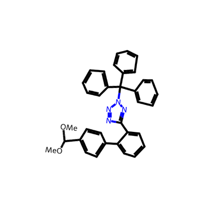 COC(OC)c1ccc(-c2ccccc2-c2nnn(C(c3ccccc3)(c3ccccc3)c3ccccc3)n2)cc1